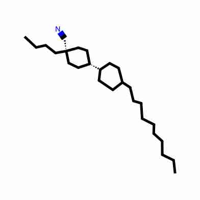 CCCCCCCCCCC1CCC([C@H]2CC[C@](C#N)(CCCC)CC2)CC1